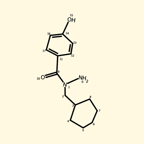 NN(CC1CCCCC1)C(=O)c1ccc(O)cc1